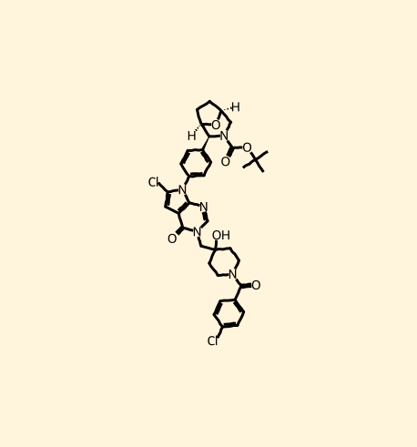 CC(C)(C)OC(=O)N1C[C@@H]2CC[C@@H](O2)[C@@H]1c1ccc(-n2c(Cl)cc3c(=O)n(CC4(O)CCN(C(=O)c5ccc(Cl)cc5)CC4)cnc32)cc1